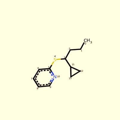 CCCC(Sc1ccccn1)C1CC1